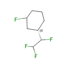 FC1CCC[C@H](C(F)C(F)F)C1